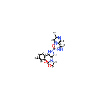 Cc1ccc(C2=NN(C(=O)N[C@H](C)c3cnc(C)cn3)C[C@@H]2N2CCOC2=O)cc1